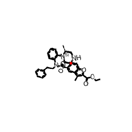 CCOC(=O)c1oc2ccc(S(=O)(=O)N(CCc3ccccc3)c3ccccc3N3CCNC[C@@H]3C)cc2c1C